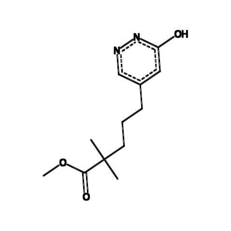 COC(=O)C(C)(C)CCCc1cnnc(O)c1